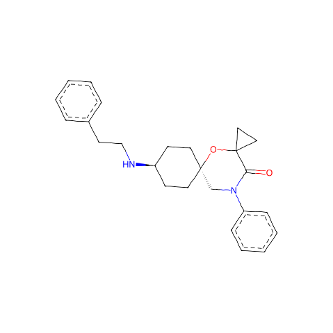 O=C1N(c2ccccc2)C[C@]2(CC[C@H](NCCc3ccccc3)CC2)OC12CC2